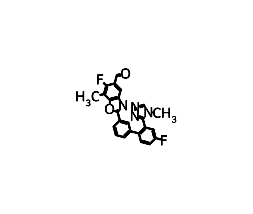 Cc1c(F)c(C=O)cc2nc(-c3cccc(-c4ccc(F)cc4-c4nncn4C)c3)oc12